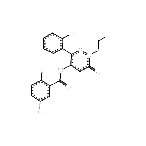 O=C(Nc1cc(=O)n(CCO)nc1-c1ccccc1C(F)(F)F)c1cc(C(F)(F)F)ccc1F